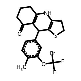 Cc1ccc(C2C3=C(CCS3)NC3=C2C(=O)CCC3)cc1OC(F)(F)Br